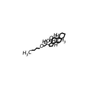 CCCCCOCC(=O)[C@H]1CC[C@H]2[C@@H]3CCC4CCCC[C@]4(C)[C@H]3[C@@H]3C[C@]12C(O)O3